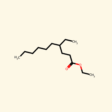 CCCCCCC(CC)CCC(=O)OCC